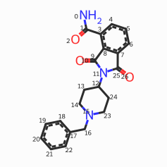 NC(=O)c1cccc2c1C(=O)N(C1CCN(Cc3ccccc3)CC1)C2=O